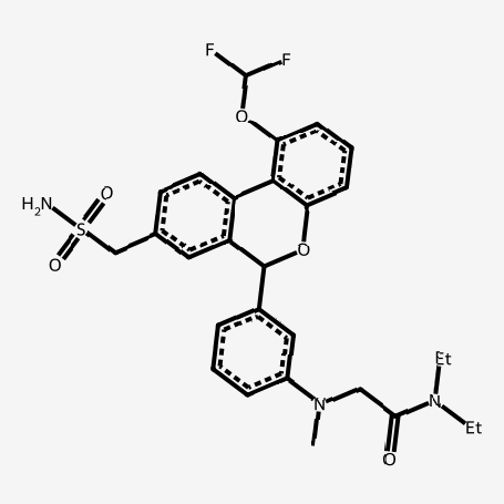 CCN(CC)C(=O)CN(C)c1cccc(C2Oc3cccc(OC(F)F)c3-c3ccc(CS(N)(=O)=O)cc32)c1